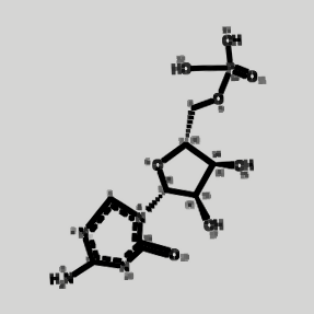 Nc1ncn([C@@H]2O[C@H](COP(=O)(O)O)[C@@H](O)[C@H]2O)c(=O)n1